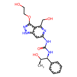 C[C@@H](O)[C@@H](NC(=O)Nc1cc2[nH]nc(OCCO)c2c(CO)n1)c1ccccc1